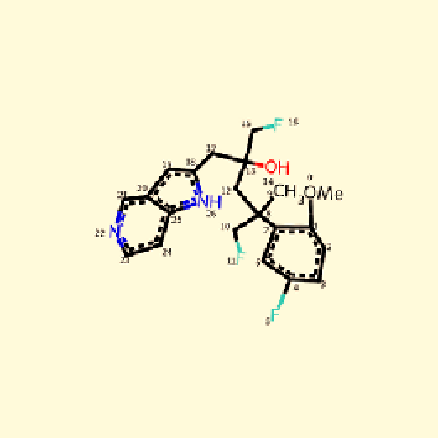 COc1ccc(F)cc1C(C)(CF)CC(O)(CF)Cc1cc2cnccc2[nH]1